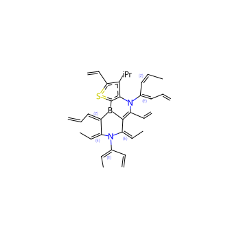 C=C/C=C1/B2C(=C(C=C)N(C(/C=C\C)=C/C=C)c3c2sc(C=C)c3C(C)C)/C(=C\C)N(/C(C=C)=C/C)/C1=C/C